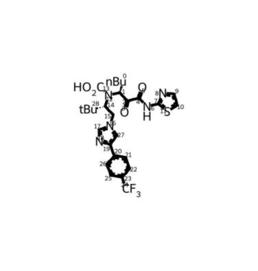 CCCC[C@@H](C(=O)C(=O)Nc1nccs1)N(C(=O)O)[C@H](Cn1cnc(-c2ccc(C(F)(F)F)cc2)c1)C(C)(C)C